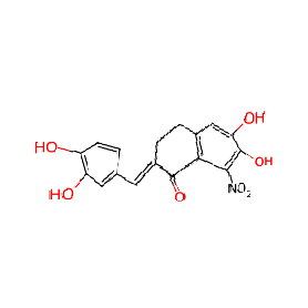 O=C1C(=Cc2ccc(O)c(O)c2)CCc2cc(O)c(O)c([N+](=O)[O-])c21